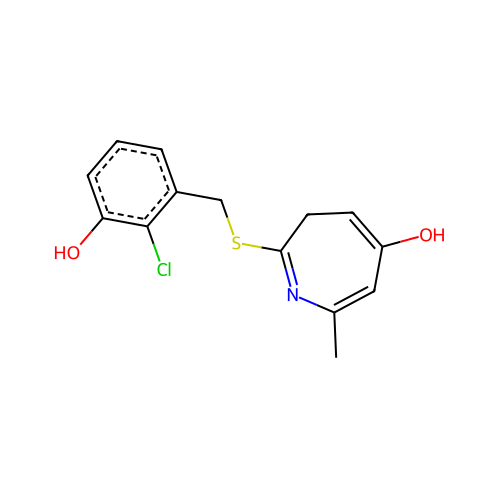 CC1=CC(O)=CCC(SCc2cccc(O)c2Cl)=N1